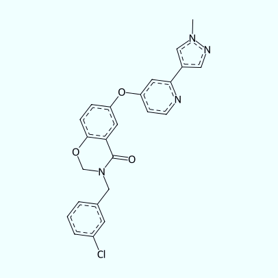 Cn1cc(-c2cc(Oc3ccc4c(c3)C(=O)N(Cc3cccc(Cl)c3)CO4)ccn2)cn1